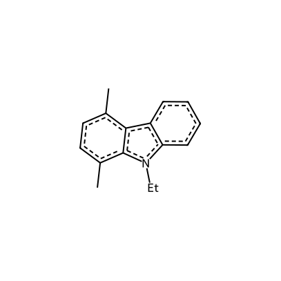 CCn1c2ccccc2c2c(C)ccc(C)c21